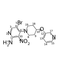 Nc1ncc(Br)c(N2CCC(Oc3cccnc3)CC2)c1[N+](=O)[O-]